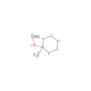 O=COC1(C(F)(F)F)CCCCC1